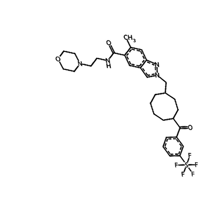 Cc1cc2nn(CC3CCCCC(C(=O)c4cccc(S(F)(F)(F)(F)F)c4)CC3)cc2cc1C(=O)NCCN1CCOCC1